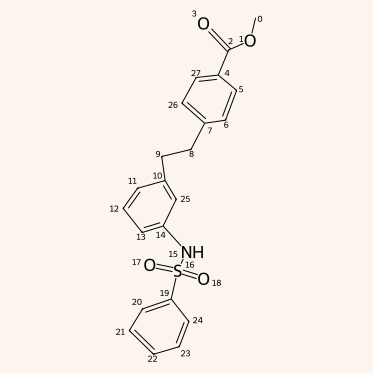 COC(=O)c1ccc(CCc2cccc(NS(=O)(=O)c3ccccc3)c2)cc1